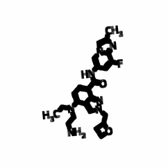 CCN(CCN)c1ccc(C(=O)Nc2cc(F)c3nc(C)cn3c2)c2nn(CC3CCO3)cc12